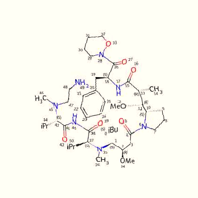 CC[C@H](C)[C@@H]([C@@H](CC(=O)N1CCC[C@H]1[C@H](OC)[C@@H](C)C(=O)N[C@@H](Cc1ccccc1)C(=O)N1CCCCO1)OC)N(C)[C@H](C(=O)NC(=O)[C@H](C(C)C)N(C)CCN)C(C)C